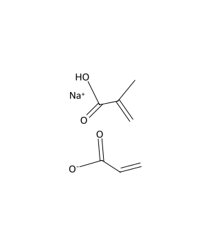 C=C(C)C(=O)O.C=CC(=O)[O-].[Na+]